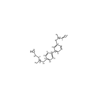 CN(C=O)Cc1cccc(-c2ccc(CN(C)CCO)cc2)c1